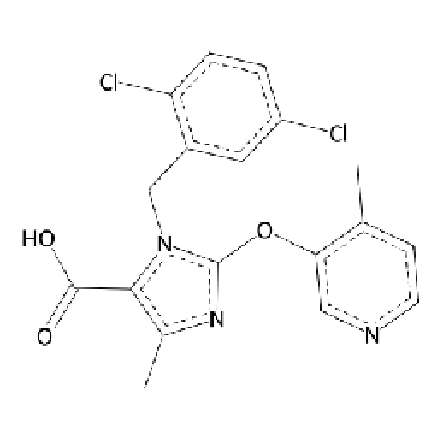 Cc1ccncc1Oc1nc(C)c(C(=O)O)n1Cc1cc(Cl)ccc1Cl